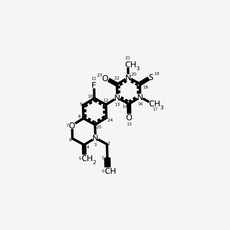 C#CCN1C(=C)COc2cc(F)c(-n3c(=O)n(C)c(=S)n(C)c3=O)cc21